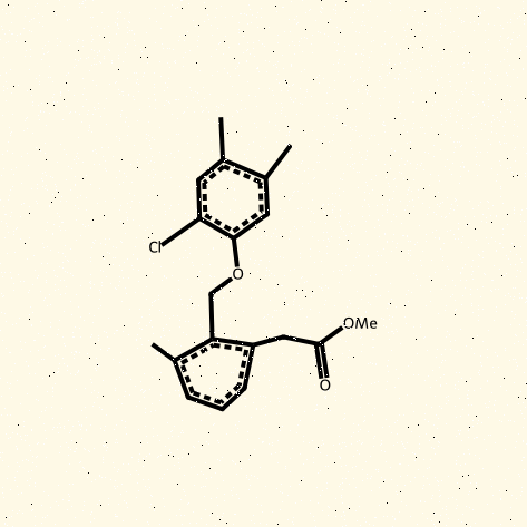 COC(=O)Cc1cccc(C)c1COc1cc(C)c(C)cc1Cl